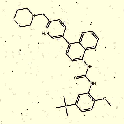 C=C(/C=C\C(=C/N)c1ccc(NC(=O)Nc2cc(C(C)(C)C)ccc2OC)c2ccccc12)CN1CCOCC1